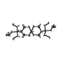 CCC(CC)(CO)C1OCC2(CO1)COC(C(CC)(CC)CO)OC2